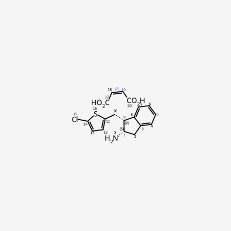 N[C@H]1Cc2ccccc2[C@H]1Cc1ccc(Cl)s1.O=C(O)/C=C\C(=O)O